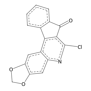 O=C1c2ccccc2-c2c1c(Cl)nc1cc3c(cc21)OCO3